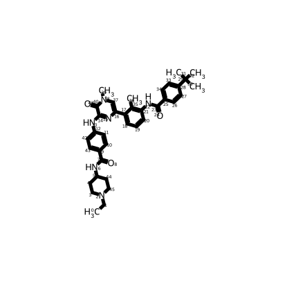 CCN1CCC(NC(=O)c2ccc(Nc3nc(-c4cccc(NC(=O)c5ccc(C(C)(C)C)cc5)c4C)cn(C)c3=O)cc2)CC1